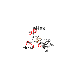 CCCCCCOC(=O)CC[S+](CCC(=O)OCCCCCC)CC(=O)C12CC3CC(CC(C3)C1)C2